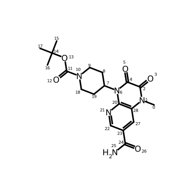 Cn1c(=O)c(=O)n(C2CCN(C(=O)OC(C)(C)C)CC2)c2ncc(C(N)=O)cc21